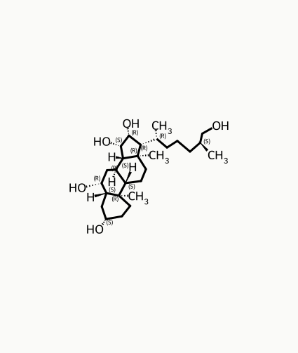 C[C@H](CO)CCC[C@@H](C)[C@H]1[C@@H](O)[C@@H](O)[C@H]2[C@@H]3C[C@@H](O)[C@H]4C[C@@H](O)CC[C@]4(C)[C@H]3CC[C@]12C